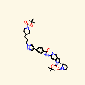 CN1CCC[C@@H]1c1cc2cnc(NC(=O)c3ccc(-c4cnn(CCCC5CCN(C(=O)OC(C)(C)C)CC5)c4)cc3)cc2n1C(=O)OC(C)(C)C